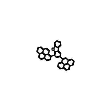 c1cc2ccc3cccc4c(-c5cc(-c6ccc7ccc8cccc9ccc6c7c89)c6oc7ccccc7c6c5)cc(c1)c2c34